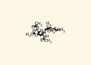 CC(=O)N[C@@H]1C[C@@H](OC(C)=O)[C@@H](COC(C)=O)OC1OCC(C)(C)COCCN